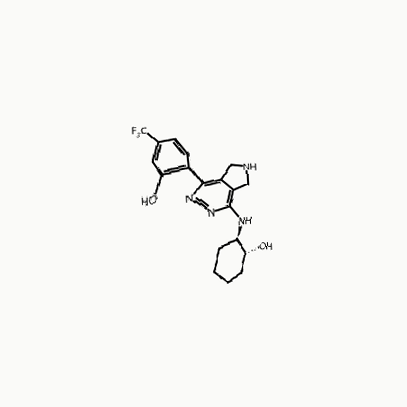 Oc1cc(C(F)(F)F)ccc1-c1nnc(N[C@@H]2CCCC[C@H]2O)c2c1CNC2